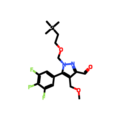 COCc1c(C=O)nn(COCC[Si](C)(C)C)c1-c1cc(F)c(F)c(F)c1